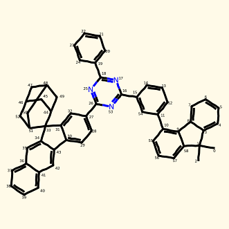 CC1(C)c2ccccc2-c2c(-c3cccc(-c4nc(-c5ccccc5)nc(-c5ccc6c(c5)C5(c7cc8ccccc8cc7-6)C6CC7CC(C6)CC5C7)n4)c3)cccc21